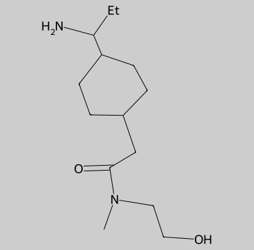 CCC(N)C1CCC(CC(=O)N(C)CCO)CC1